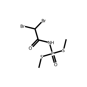 CSP(=O)(NC(=O)C(Br)Br)SC